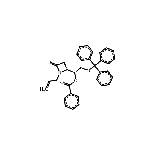 C=CCN1C(=O)C[C@H]1[C@@H](COC(c1ccccc1)(c1ccccc1)c1ccccc1)OC(=O)c1ccccc1